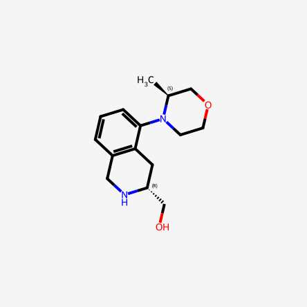 C[C@H]1COCCN1c1cccc2c1C[C@H](CO)NC2